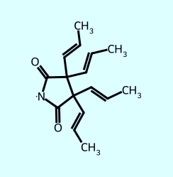 CC=CC1(C=CC)C(=O)[N]C(=O)C1(C=CC)C=CC